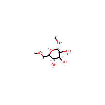 COCC1O[C@H](OC)C(O)C(O)[C@@H]1O